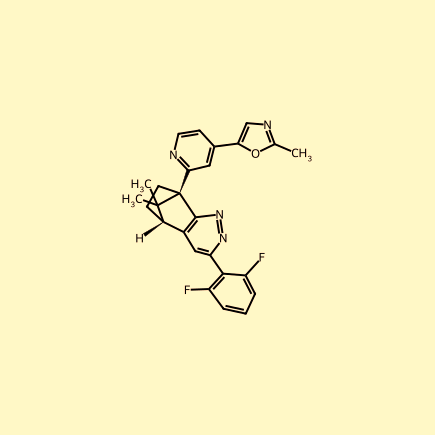 Cc1ncc(-c2ccnc([C@@]34CC[C@@H](c5cc(-c6c(F)cccc6F)nnc53)C4(C)C)c2)o1